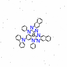 c1ccc(N2c3cc(-n4c5ccccc5c5ccccc54)cc4c3B(c3nc5cc6ccccc6cc5nc32)c2nc3cc5ccccc5cc3nc2N4c2ccccc2)cc1